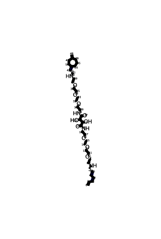 C=C/C=C\C=C\SNCCOCCOCCOCCNC(=O)C(O)C(O)C(=O)NCCOCCOCCOCCNS/C=C1\CCCC(=C)CC1